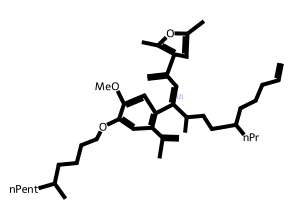 C=CCCCC(CCC)CCC(C)/C(=C/C(=C)c1cc(C)oc1C)c1cc(OC)c(OCCCCC(C)CCCCC)cc1C(=C)C